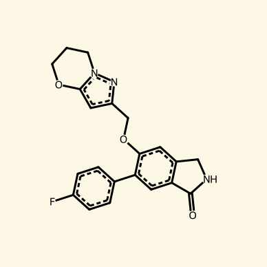 O=C1NCc2cc(OCc3cc4n(n3)CCCO4)c(-c3ccc(F)cc3)cc21